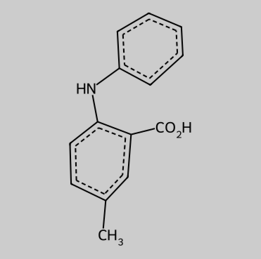 Cc1ccc(Nc2ccccc2)c(C(=O)O)c1